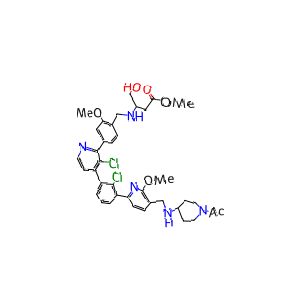 COC(=O)CC(CO)NCc1ccc(-c2nccc(-c3cccc(-c4ccc(CNC5CCN(C(C)=O)CC5)c(OC)n4)c3Cl)c2Cl)cc1OC